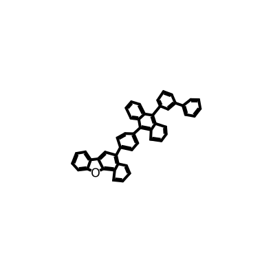 c1ccc(-c2cccc(-c3c4ccccc4c(-c4ccc(-c5cc6c7ccccc7oc6c6ccccc56)cc4)c4ccccc34)c2)cc1